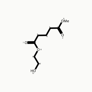 COC(=O)CCCC(=O)OCCO